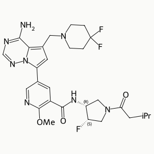 COc1ncc(-c2cc(CN3CCC(F)(F)CC3)c3c(N)ncnn23)cc1C(=O)N[C@@H]1CN(C(=O)CC(C)C)C[C@@H]1F